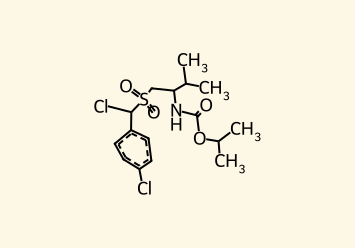 CC(C)OC(=O)NC(CS(=O)(=O)C(Cl)c1ccc(Cl)cc1)C(C)C